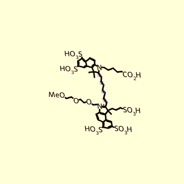 COCCOCCOCC[N+]1=C(/C=C/C=C/C=C/C=C2/N(CCCCCC(=O)O)c3ccc4c(S(=O)(=O)O)cc(S(=O)(=O)O)cc4c3C2(C)C)C(C)(CCCS(=O)(=O)O)c2c1ccc1c(S(=O)(=O)O)cc(S(=O)(=O)O)cc21